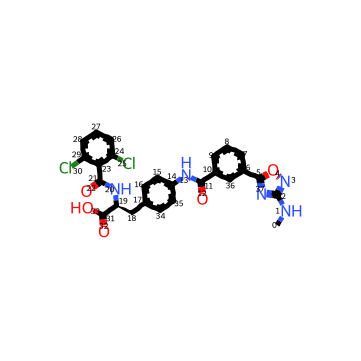 CNc1noc(-c2cccc(C(=O)Nc3ccc(C[C@H](NC(=O)c4c(Cl)cccc4Cl)C(=O)O)cc3)c2)n1